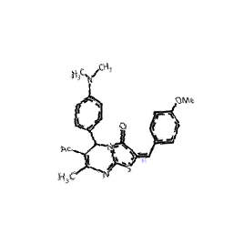 COc1ccc(/C=c2/sc3n(c2=O)C(c2ccc(N(C)C)cc2)C(C(C)=O)=C(C)N=3)cc1